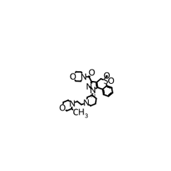 CC1COCCN1CCN1CCC[C@H](n2nc(C(=O)N3CCOCC3)c3c2-c2ccccc2S(=O)(=O)C3)C1